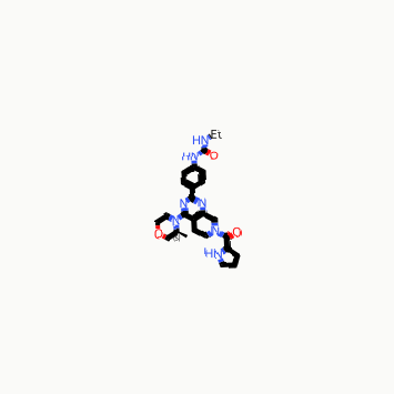 CCNC(=O)Nc1ccc(-c2nc3c(c(N4CCOC[C@@H]4C)n2)CCN(C(=O)C2CCCN2)C3)cc1